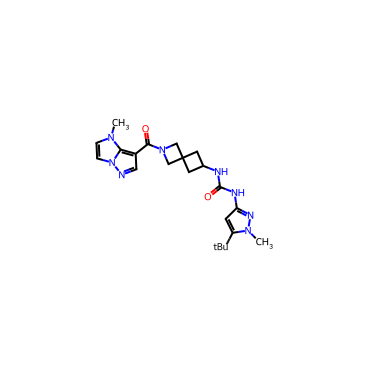 Cn1nc(NC(=O)NC2CC3(C2)CN(C(=O)c2cnn4ccn(C)c24)C3)cc1C(C)(C)C